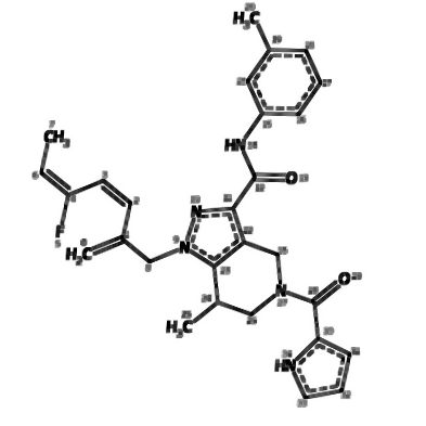 C=C(/C=C\C(F)=C/C)Cn1nc(C(=O)Nc2cccc(C)c2)c2c1C(C)CN(C(=O)c1ccc[nH]1)C2